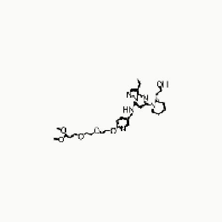 CCc1cnn2c(NCc3ccc(OCCOCCOCCC(OC)OC)nc3)cc(N3CCCC[C@H]3CCO)nc12